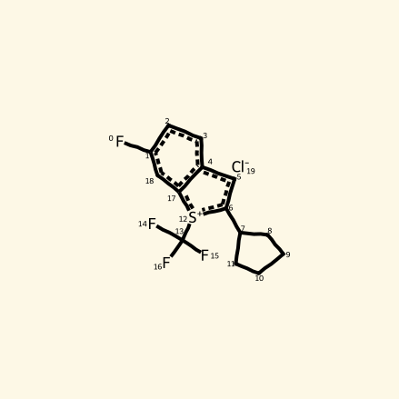 Fc1ccc2cc(C3CCCC3)[s+](C(F)(F)F)c2c1.[Cl-]